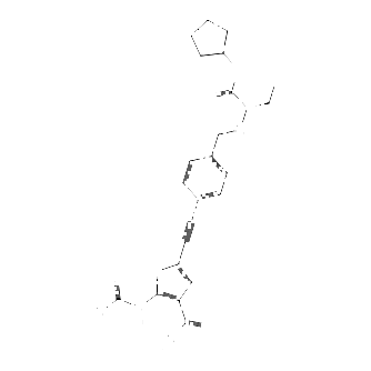 CC(C)C[C@@H](NCc1ccc(C#Cc2cc(C(N)=O)c(NC(N)=O)s2)cc1)C(=O)OC1CCCC1